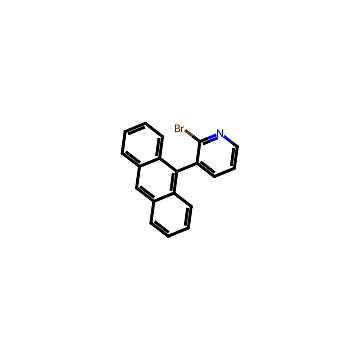 Brc1ncccc1-c1c2ccccc2cc2ccccc12